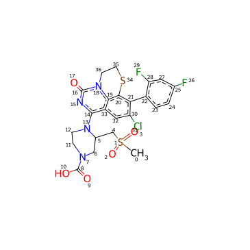 CS(=O)(=O)CC1CN(C(=O)O)CCN1c1nc(=O)n2c3c(c(-c4ccc(F)cc4F)c(Cl)cc13)SCC2